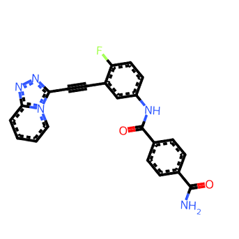 NC(=O)c1ccc(C(=O)Nc2ccc(F)c(C#Cc3nnc4ccccn34)c2)cc1